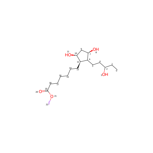 CCC(O)CCC1[C@H](O)C[C@H](O)[C@@H]1CCCCCCC(=O)OI